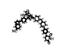 CC1(Nc2cc(-c3ccc4cc(C#N)cnn34)ncc2-c2nnc(N3CCN(CC4CCN(c5ccc([C@H]6CCC(=O)NC6=O)cc5)CC4)CC3)s2)COC1